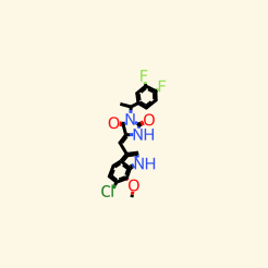 COc1c(Cl)ccc2c(/C=C3\NC(=O)N(C(C)c4ccc(F)c(F)c4)C3=O)c[nH]c12